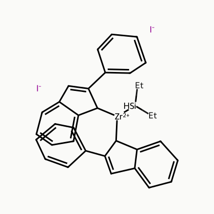 CC[SiH](CC)[Zr+2]([CH]1C(c2ccccc2)=Cc2ccccc21)[CH]1C(c2ccccc2)=Cc2ccccc21.[I-].[I-]